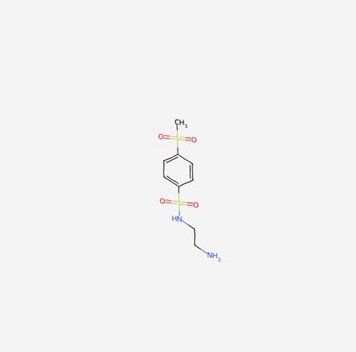 CS(=O)(=O)c1ccc(S(=O)(=O)NCCN)cc1